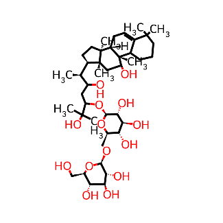 C[C@H](C(O)CC(O[C@@H]1O[C@H](CO[C@@H]2O[C@H](CO)[C@@H](O)[C@H](O)[C@H]2O)[C@@H](O)[C@H](O)[C@H]1O)C(C)(C)O)[C@H]1CC[C@@]2(C)[C@@H]3CC=C4C(CCCC4(C)C)[C@]3(C)C(O)C[C@]12C